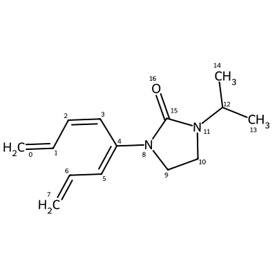 C=C/C=C\C(=C/C=C)N1CCN(C(C)C)C1=O